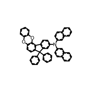 c1ccc(C2(c3ccccc3)c3cc(N(c4ccc5ccccc5c4)c4ccc5ccccc5c4)ccc3-c3c2ccc2c3Oc3ccccc3O2)cc1